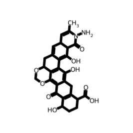 CC1=CC2C=C3CC4OCOc5c6c(c(O)c(c54)C3=C(O)C2C(=O)N1N)CC1=C(C6=O)C(O)CCC1C(=O)O